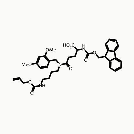 C=CCOC(=O)NCCCCN(Cc1ccc(OC)cc1OC)C(=O)CCC(NC(=O)OCC1c2ccccc2-c2ccccc21)C(=O)O